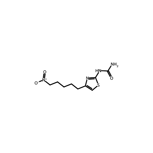 NC(=O)Nc1nc(CCCCC[N+](=O)[O-])cs1